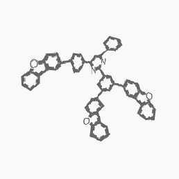 c1ccc(-c2cc(-c3ccc(-c4ccc5oc6ccccc6c5c4)cc3)nc(-c3cc(-c4ccc5oc6ccccc6c5c4)cc(-c4ccc5oc6ccccc6c5c4)c3)n2)cc1